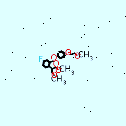 CO/C=C(\C(=O)OC)c1ccc(F)cc1COc1ccc(OCCOC)cc1